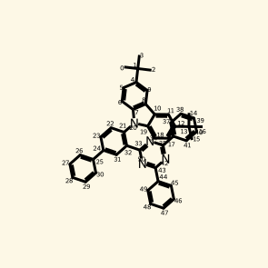 CC(C)(C)c1ccc2c(c1)c1cc(C(C)(C)C)ccc1n2-c1ccc(-c2ccccc2)cc1-c1nc(-c2ccccc2)nc(-c2ccccc2)n1